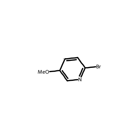 COc1[c]cc(Br)nc1